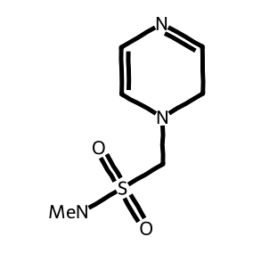 CNS(=O)(=O)CN1C=CN=CC1